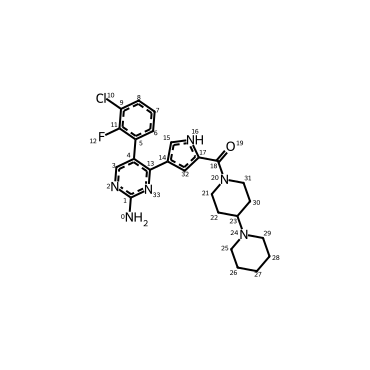 Nc1ncc(-c2cccc(Cl)c2F)c(-c2c[nH]c(C(=O)N3CCC(N4CCCCC4)CC3)c2)n1